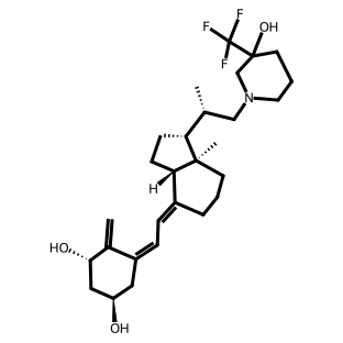 C=C1C(=CC=C2CCC[C@]3(C)[C@@H]([C@H](C)CN4CCCC(O)(C(F)(F)F)C4)CC[C@@H]23)C[C@@H](O)C[C@@H]1O